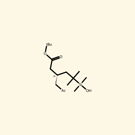 CC(=O)C[C@H](CC(=O)OC(C)(C)C)CC(C)(C)[Si](C)(C)O